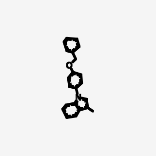 Cc1cn(-c2ccc(OCc3ccccc3)cc2)c2ccccc12